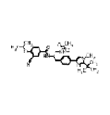 CC(C)Oc1ccc(C(=O)N[C@H](CNS(C)(=O)=O)Cc2ccc(-c3cn(C)c(C(C)(C)C)n3)cc2)cc1C#N